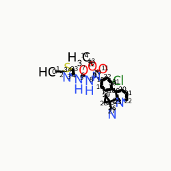 C#Cc1nc(NC(=O)NN(C(=O)OCC)c2ccc(-c3cccnc3C3(C#N)CC3)c(Cl)c2)cs1